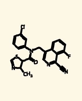 CC1N=CSC1C(=O)N(Cc1cnc(C#N)c2c(F)cccc12)c1cccc(Cl)c1